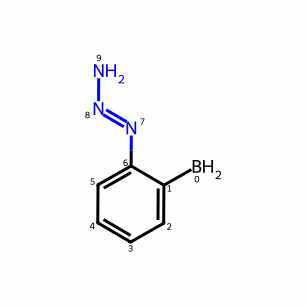 Bc1ccccc1N=NN